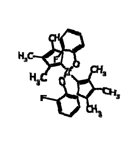 CC1=C(C)C(C)=[C]([Zr]([O]c2ccccc2F)([O]c2ccccc2F)[C]2=C(C)C(C)=C(C)C2)C1